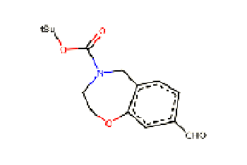 CC(C)(C)OC(=O)N1CCOc2cc(C=O)ccc2C1